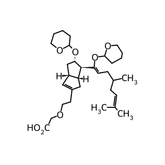 CC(C)=CCC(C)CC=C(OC1CCCCO1)[C@H]1[C@@H]2CC(CCOCC(=O)O)=C[C@@H]2C[C@@H]1OC1CCCCO1